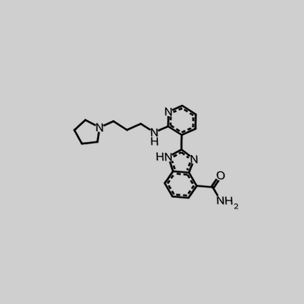 NC(=O)c1cccc2[nH]c(-c3cccnc3NCCCN3CCCC3)nc12